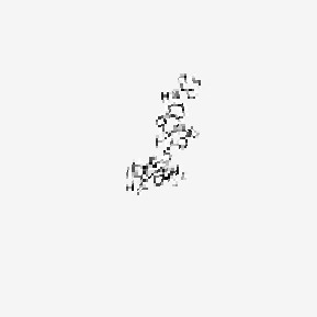 CC(=O)Nc1ccc2c(c1)OC[C@H]1[C@H](CO[Si](C)(C)C(C)(C)C)OC(=O)N21